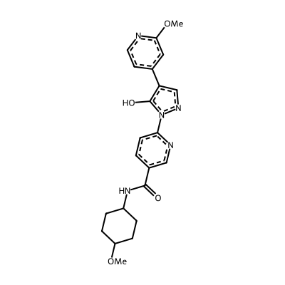 COc1cc(-c2cnn(-c3ccc(C(=O)NC4CCC(OC)CC4)cn3)c2O)ccn1